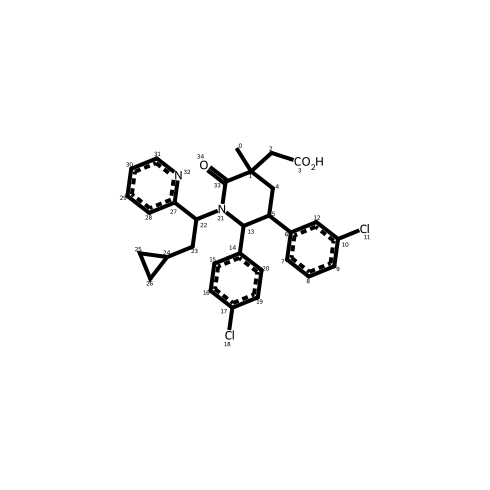 CC1(CC(=O)O)CC(c2cccc(Cl)c2)C(c2ccc(Cl)cc2)N(C(CC2CC2)c2ccccn2)C1=O